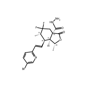 C[C@H]1OC(=O)[C@]2(C(=O)NN)CC(F)(F)[C@@H](C)[C@H](C=Cc3ccc(Br)cn3)[C@H]12